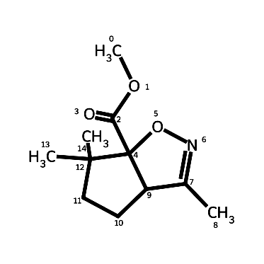 COC(=O)C12ON=C(C)C1CCC2(C)C